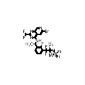 CC[Si](CC)(CC)OC(C)(C)C(F)(F)c1cccc([C@@H](C)Nc2nc(C(F)F)nc3cnc(Br)cc23)c1F